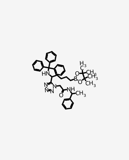 CC(NC(=O)Cn1nnnc1C(CCCCB1OC(C)(C)C(C)(C)O1)NC(c1ccccc1)(c1ccccc1)c1ccccc1)c1ccccc1